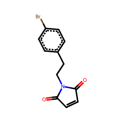 O=C1C=CC(=O)N1CCc1ccc(Br)cc1